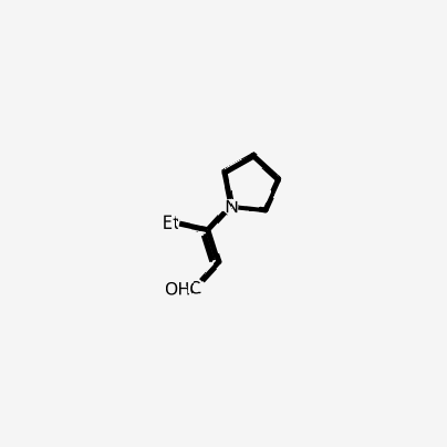 CCC(=CC=O)N1CCCC1